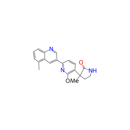 COc1nc(-c2cnc3cccc(C)c3c2)ccc1C1(C)CCNC1=O